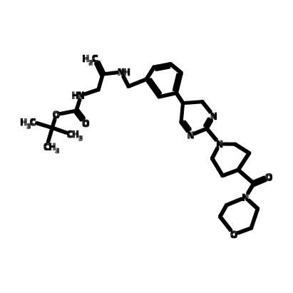 C=C(CNC(=O)OC(C)(C)C)NCc1cccc(C2C=NC(N3CCC(C(=O)N4CCOCC4)CC3)=NC2)c1